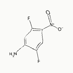 Nc1cc(F)c([N+](=O)[O-])cc1F